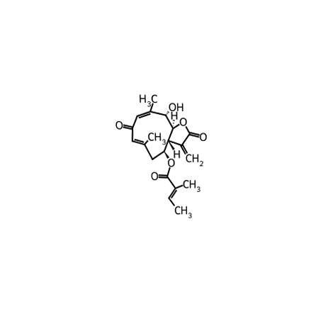 C=C1C(=O)O[C@H]2[C@H]1[C@@H](OC(=O)/C(C)=C/C)C/C(C)=C/C(=O)/C=C(/C)[C@@H]2O